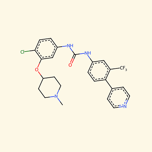 CN1CCC(Oc2cc(NC(=O)Nc3ccc(-c4ccncc4)c(C(F)(F)F)c3)ccc2Cl)CC1